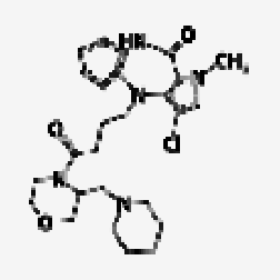 Cn1cc(Cl)c2c1C(=O)Nc1ccccc1N2CCCC(=O)N1CCOCC1CN1CCCCC1